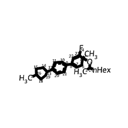 CCCCCCC(C)OC1(C)CC=C(c2ccc(C3CCC(C)CC3)cc2)C=C1F